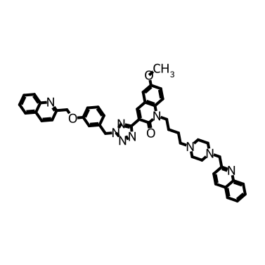 COc1ccc2c(c1)cc(-c1nnn(Cc3cccc(OCc4ccc5ccccc5n4)c3)n1)c(=O)n2CCCCN1CCN(Cc2ccc3ccccc3n2)CC1